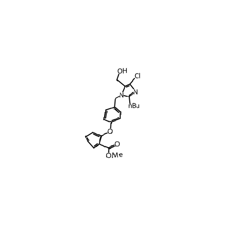 CCCCc1nc(Cl)c(CO)n1Cc1ccc(Oc2ccccc2C(=O)OC)cc1